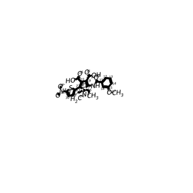 C=N[SH]1(CC)(CC)C(NC(=O)c2cccc(OC)c2)=C(C(=O)O)C(C(=O)O)=C1c1ccc([N+](=O)[O-])s1